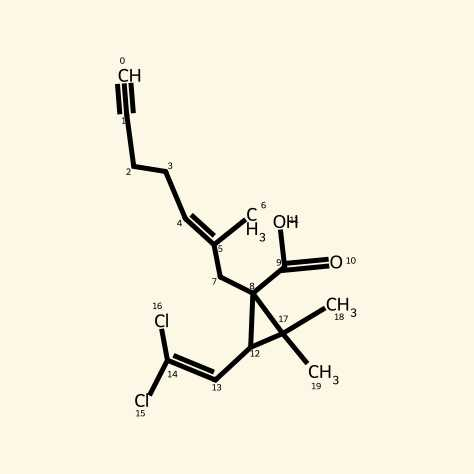 C#CCCC=C(C)CC1(C(=O)O)C(C=C(Cl)Cl)C1(C)C